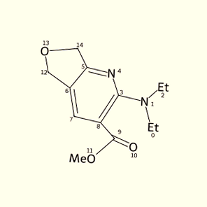 CCN(CC)c1nc2c(cc1C(=O)OC)COC2